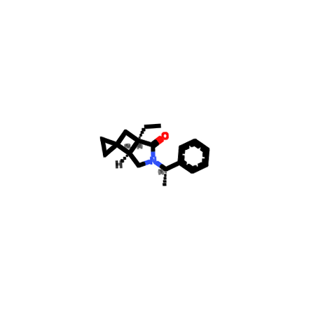 CC[C@@]12CC3(CC3)[C@@H]1CN([C@@H](C)c1ccccc1)C2=O